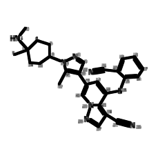 CNC1(C)CCC(n2ncc(-c3cc(Sc4ccccc4C#N)c4c(C#N)cnn4c3)c2C)CC1